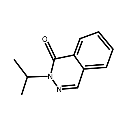 CC(C)n1ncc2ccccc2c1=O